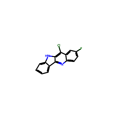 Fc1ccc2nc3c([nH]c4ccccc43)c(Cl)c2c1